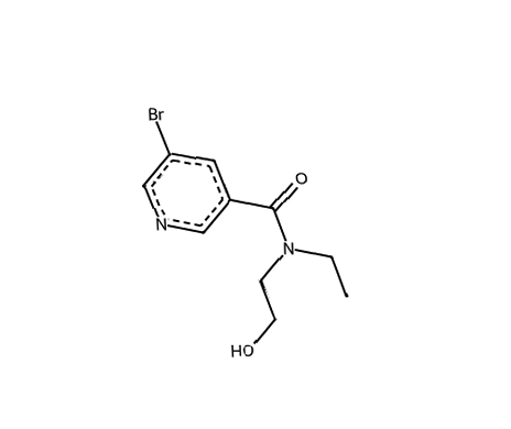 CCN(CCO)C(=O)c1cncc(Br)c1